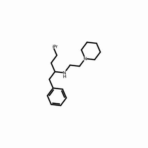 CC(C)CCC(Cc1ccccc1)NCCN1CCCCC1